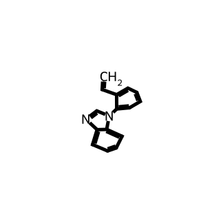 C=Cc1ccccc1-n1cnc2ccccc21